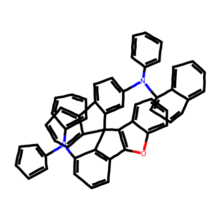 c1ccc(N(c2ccccc2)c2cccc3c2C2(c4ccccc4-c4ccc(N(c5ccccc5)c5cccc6ccccc56)cc42)c2c-3oc3ccccc23)cc1